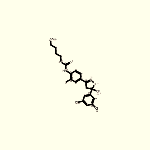 CSCCCCNC(=S)Nc1ccc(C2=NOC(c3cc(Cl)cc(Cl)c3)(C(F)(F)F)C2)cc1C